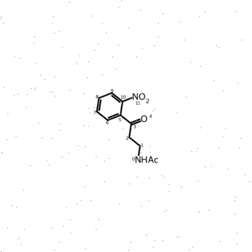 CC(=O)NCCC(=O)c1ccccc1[N+](=O)[O-]